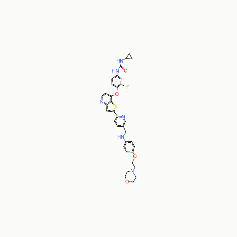 O=C(Nc1ccc(Oc2ccnc3cc(-c4ccc(CNc5ccc(OCCN6CCOCC6)cc5)cn4)sc23)c(F)c1)NC1CC1